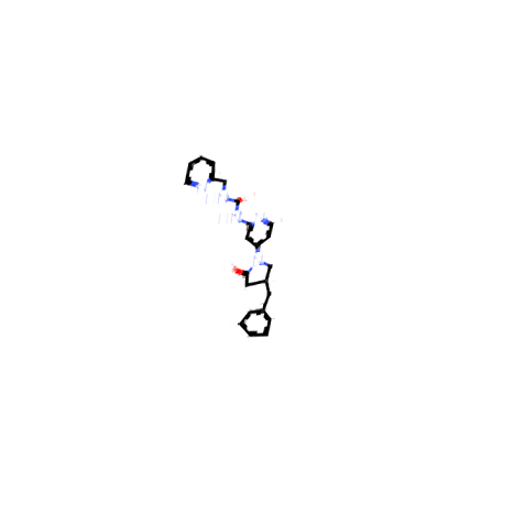 O=C(NCc1ccccn1)Nc1cc(N2CC(Cc3ccccc3)CC2=O)ccn1